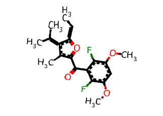 C/C=c1/oc(C(=O)c2c(F)c(OC)cc(OC)c2F)c(C)c1=C(C)C